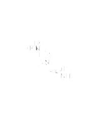 BC(O)C(CSC1CCC1SCC(NC(=O)CCC(C)(C)OCCC(C)(N)C(=O)C(C)(C)C)C(=O)O)NC(C)(C)C